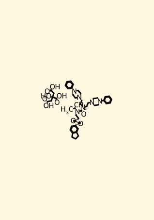 CC(C)N(CCS(=O)(=O)c1ccc2c(c1)CCC2)C(=O)N(CCN1CCN(c2ccccc2)CC1)CCN1CCN(c2ccccc2)CC1.O=C(O)CC(O)(CC(=O)O)C(=O)O